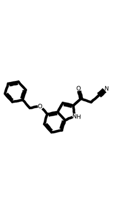 N#CCC(=O)c1cc2c(OCc3ccccc3)cccc2[nH]1